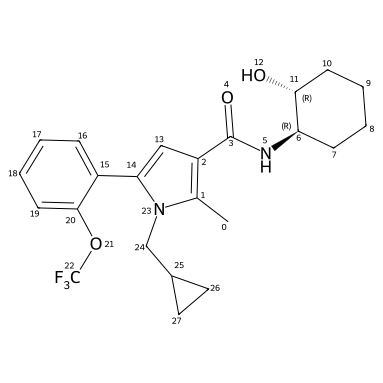 Cc1c(C(=O)N[C@@H]2CCCC[C@H]2O)cc(-c2ccccc2OC(F)(F)F)n1CC1CC1